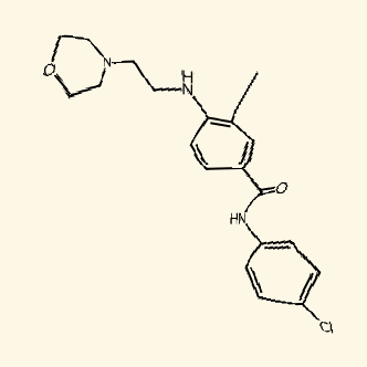 Cc1cc(C(=O)Nc2ccc(Cl)cc2)ccc1NCCN1CCOCC1